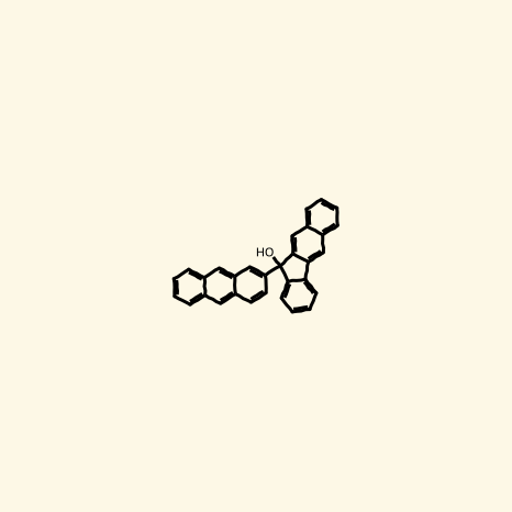 OC1(c2ccc3cc4ccccc4cc3c2)c2ccccc2-c2cc3ccccc3cc21